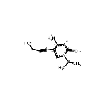 CC(C)n1cc(C#CCO)c(N)nc1=O